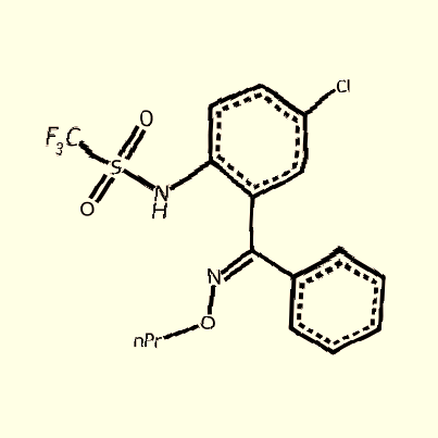 CCCO/N=C(\c1ccccc1)c1cc(Cl)ccc1NS(=O)(=O)C(F)(F)F